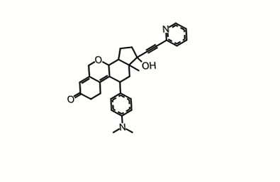 CN(C)c1ccc(C2CC3(C)C(CCC3(O)C#Cc3ccccn3)C3OCC4=CC(=O)CCC4=C23)cc1